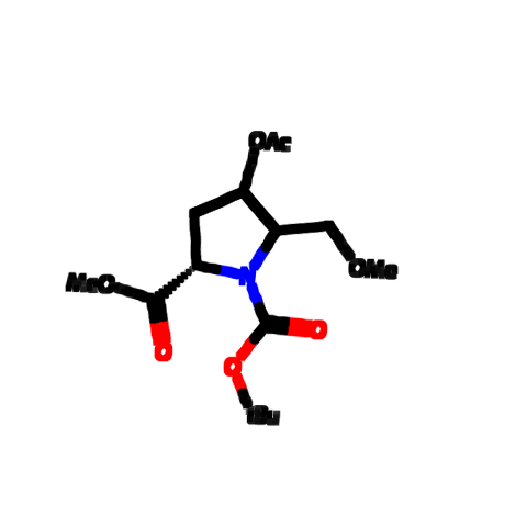 COCC1C(OC(C)=O)C[C@@H](C(=O)OC)N1C(=O)OC(C)(C)C